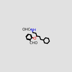 O=CNCCC(CCC1CCCCC1)Oc1ccccc1C=O